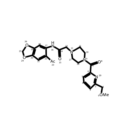 COCc1cccc(C(=O)N2CCN(CC(=O)Nc3cc4c(cc3C(C)=O)OCO4)CC2)n1